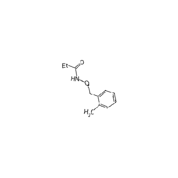 CCC(=O)NOCc1ccccc1C